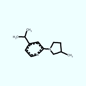 CC1CCN(c2cc(C(C)C)ccn2)C1